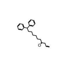 C=CCC(=O)CCCCCCC(c1ccccc1)c1ccccc1